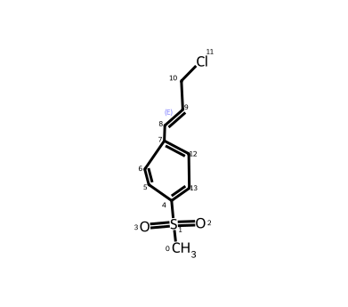 CS(=O)(=O)c1ccc(/C=C/CCl)cc1